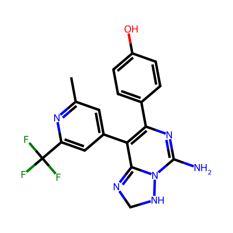 Cc1cc(C2=C(c3ccc(O)cc3)N=C(N)N3NCN=C23)cc(C(F)(F)F)n1